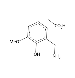 CC(=O)O.COc1cccc(CN)c1O